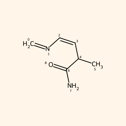 C=N/C=C\C(C)C(N)=O